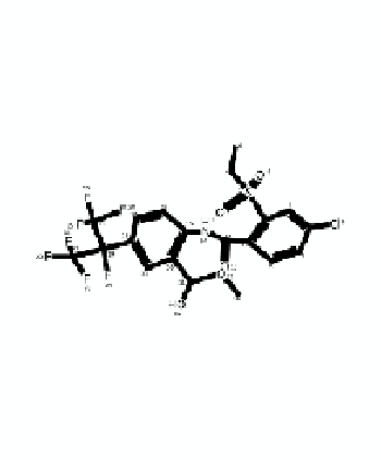 CCS(=O)(=O)c1cc(Cl)ccc1C(=O)Nc1ccc(C(F)(C(F)(F)F)C(F)(F)F)cc1C(O)OC